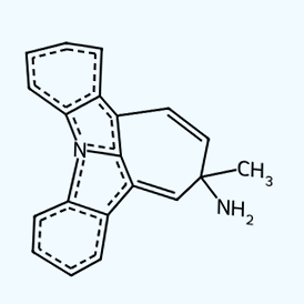 CC1(N)C=Cc2c3ccccc3n3c2c(c2ccccc23)=C1